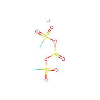 O=S(OS(=O)(=O)F)OS(=O)(=O)F.[Li]